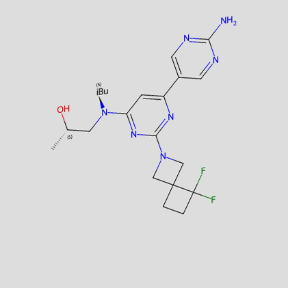 CC[C@H](C)N(C[C@H](C)O)c1cc(-c2cnc(N)nc2)nc(N2CC3(CCC3(F)F)C2)n1